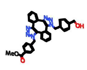 COC(=O)c1ccc(Cn2nnc3c2-c2ccccc2-c2c(nnn2Cc2ccc(CO)cc2)-c2ccccc2-3)cc1